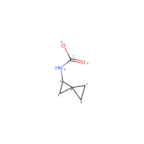 [O]C(=O)NC1CC12CC2